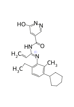 C=C/C(=N\c1c(CC)ccc(C2CCCCC2)c1C)NC(=O)c1cnnc(O)c1